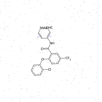 CN/C=C\C(=C/C=O)NC(=O)c1cc(C(F)(F)F)ccc1Oc1ccccc1Cl